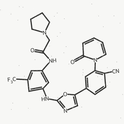 N#Cc1ccc(-c2cnc(Nc3cc(NC(=O)CN4CCCC4)cc(C(F)(F)F)c3)o2)cc1-n1ccccc1=O